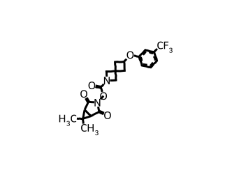 CC1(C)C2C(=O)N(OC(=O)N3CC4(CC(Oc5cccc(C(F)(F)F)c5)C4)C3)C(=O)C21